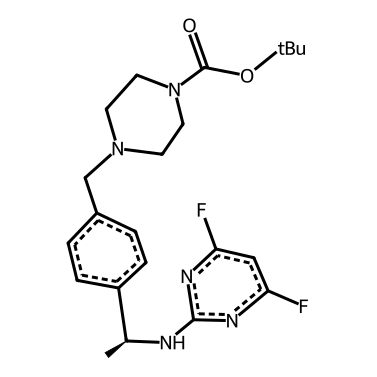 C[C@H](Nc1nc(F)cc(F)n1)c1ccc(CN2CCN(C(=O)OC(C)(C)C)CC2)cc1